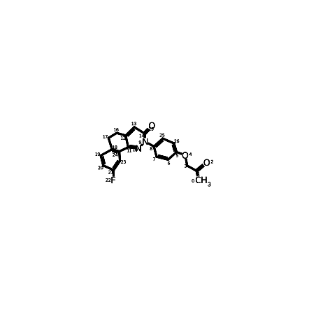 CC(=O)COc1ccc(-n2nc3c(cc2=O)CCc2ccc(F)cc2-3)cc1